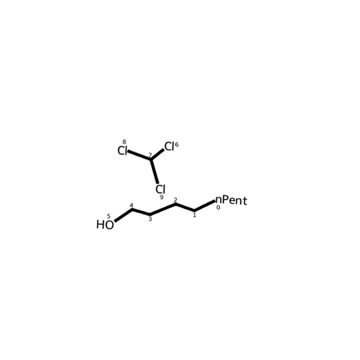 CCCCCCCCCO.ClC(Cl)Cl